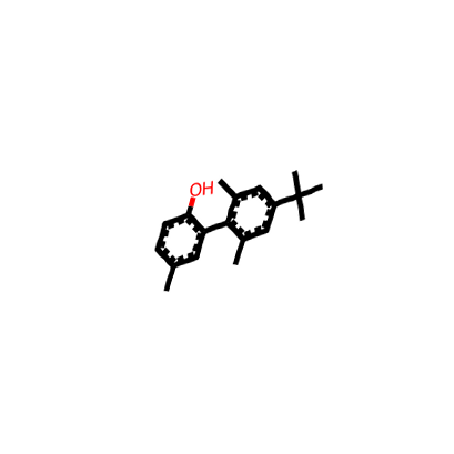 Cc1ccc(O)c(-c2c(C)cc(C(C)(C)C)cc2C)c1